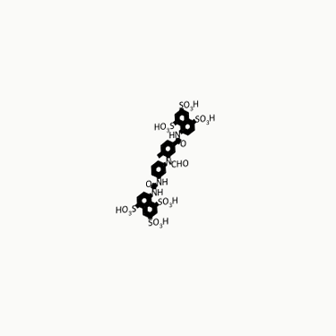 Cc1ccc(C(=O)Nc2ccc(S(=O)(=O)O)c3cc(S(=O)(=O)O)cc(S(=O)(=O)O)c23)cc1N(C=O)c1cccc(NC(=O)Nc2ccc(S(=O)(=O)O)c3cc(S(=O)(=O)O)cc(S(=O)(=O)O)c23)c1